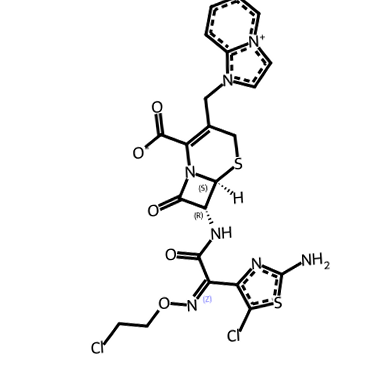 Nc1nc(/C(=N/OCCCl)C(=O)N[C@@H]2C(=O)N3C(C(=O)[O-])=C(Cn4cc[n+]5ccccc45)CS[C@@H]23)c(Cl)s1